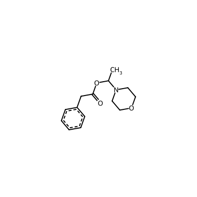 CC(OC(=O)Cc1ccccc1)N1CCOCC1